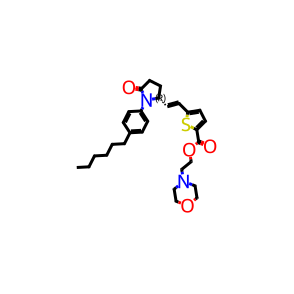 CCCCCCc1ccc(N2C(=O)CC[C@@H]2C=Cc2ccc(C(=O)OCCN3CCOCC3)s2)cc1